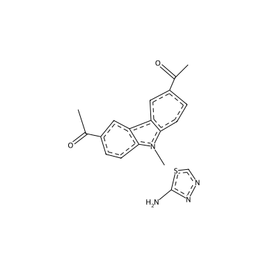 CC(=O)c1ccc2c(c1)c1cc(C(C)=O)ccc1n2C.Nc1nncs1